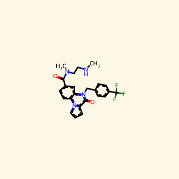 CNCCN(C)C(=O)c1ccc2c(c1)n(Cc1ccc(C(F)(F)F)cc1)c(=O)c1cccn12